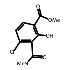 CNC(=O)c1c(Cl)ccc(C(=O)OC)c1O